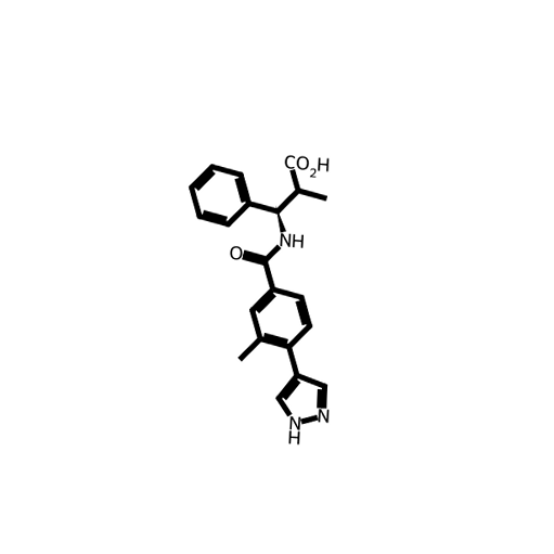 Cc1cc(C(=O)N[C@@H](c2ccccc2)C(C)C(=O)O)ccc1-c1cn[nH]c1